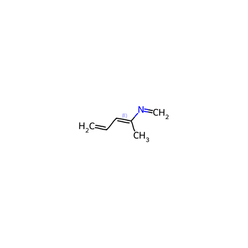 C=C/C=C(\C)N=C